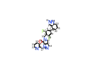 Cn1cc2c(-c3cc(F)c(CN4Cc5cnn(Cc6ccccn6)c5C4=O)c(F)c3)cccc2n1